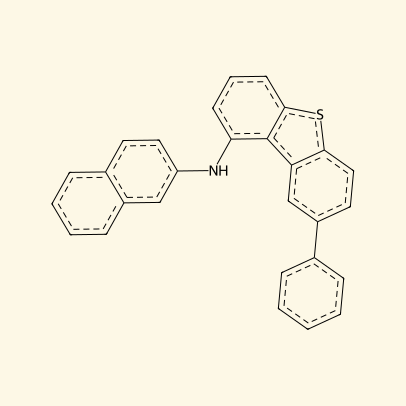 c1ccc(-c2ccc3sc4cccc(Nc5ccc6ccccc6c5)c4c3c2)cc1